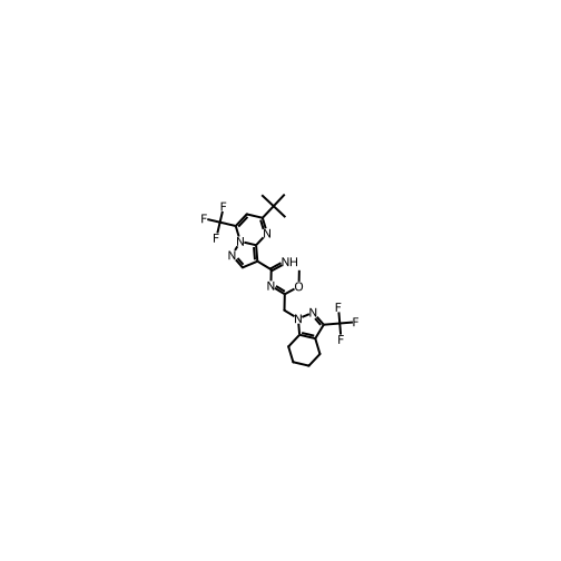 CO/C(Cn1nc(C(F)(F)F)c2c1CCCC2)=N\C(=N)c1cnn2c(C(F)(F)F)cc(C(C)(C)C)nc12